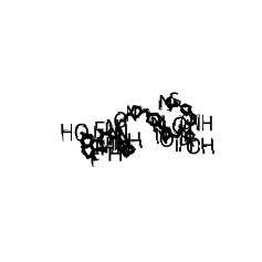 C#Cc1c(F)ccc2cc(O)cc(-c3ncc4c(N5C[C@H]6CC[C@@H](C5)N6)nc(OCCN5CCC(CC6CCN(c7cc([C@H](C(=O)N8C[C@H](O)C[C@H]8C(=O)N[C@@H](C)c8ccc(-c9scnc9C)cc8)C(C)C)on7)CC6)CC5)nc4c3F)c12